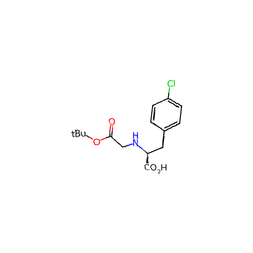 CC(C)(C)OC(=O)CN[C@@H](Cc1ccc(Cl)cc1)C(=O)O